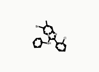 Cc1cc2nc(-c3ccccc3Cl)c(Nc3ccccc3)n2cc1Br